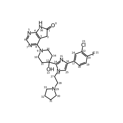 O=C1Cc2c(ncnc2N2CCC(O)(c3nc(-c4ccc(F)c(Cl)c4)cn3CCN3CCCC3)CC2)N1